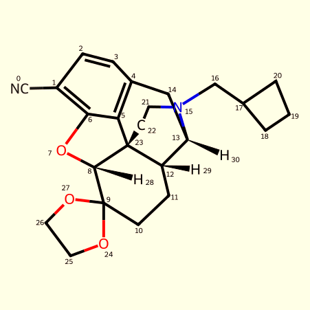 N#Cc1ccc2c3c1O[C@H]1C4(CC[C@H]5[C@@H](C2)N(CC2CCC2)CC[C@@]351)OCCO4